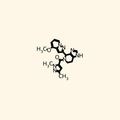 COc1cccn2nc(C3c4nc[nH]c4CCN3C(=O)c3cc(C)nn3C)cc12